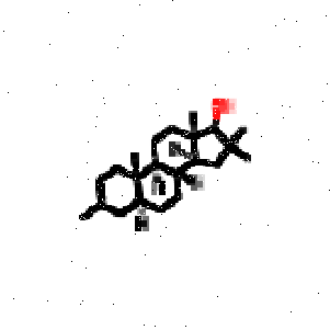 CC1=CC[C@@]2(C)[C@@H](CC[C@@H]3[C@@H]2CC[C@@]2(C)[C@H]3CC(C)(C)[C@@H]2O)C1